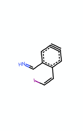 N=Cc1cc#ccc1/C=C\I